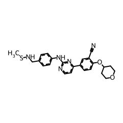 CSNCc1ccc(Nc2nccc(-c3ccc(OC4CCOCC4)c(C#N)c3)n2)cc1